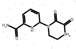 NC(=O)C1=[C]C=CC(N2CC[SH4]C(=O)C2=O)N1